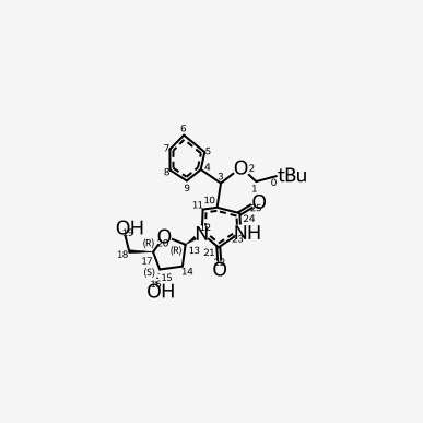 CC(C)(C)COC(c1ccccc1)c1cn([C@H]2C[C@H](O)[C@@H](CO)O2)c(=O)[nH]c1=O